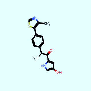 Cc1ncsc1-c1ccc([C@H](C)C(=O)c2cc(O)c[nH]2)cc1